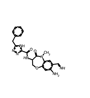 CN1C(=O)C(NC(=O)c2nnc(Cc3ccccc3)[nH]2)COc2cc(N)c(C=N)cc21